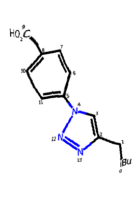 CCC(C)Cc1cn(-c2ccc(C(=O)O)cc2)nn1